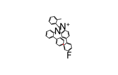 Cc1ccccc1-c1n(-c2ccccc2-c2ccccc2)c2cc(-c3ccc(F)cc3)ccc2[n+]1C